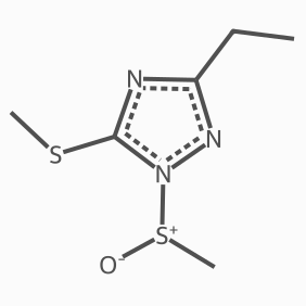 CCc1nc(SC)n([S+](C)[O-])n1